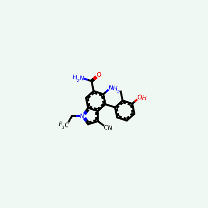 Cc1c(O)cccc1-c1c(N)c(C(N)=O)cc2c1c(C#N)cn2CC(F)(F)F